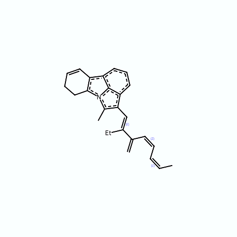 C=C(/C=C\C=C/C)/C(=C/c1c(C)n2c3c(c4cccc1c42)C=CCC3)CC